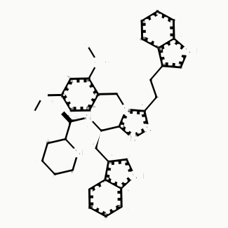 COc1ccc(Cn2c(CCc3c[nH]c4ccccc34)nnc2[C@@H](Cc2c[nH]c3ccccc23)NC(=O)C2CCCCN2)c(OC)c1